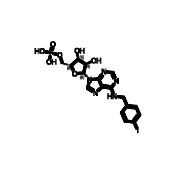 O=P(O)(O)OC[C@H]1O[C@@H](n2cnc3c(NCc4ccc(I)cc4)ncnc32)[C@H](O)[C@@H]1O